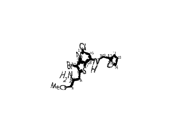 COC[C@H](N)Cc1sc2c(NCc3ccco3)cc(Cl)nc2c1Br